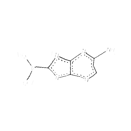 Nc1cnc2nc(B(O)O)[nH]c2n1